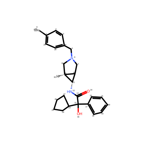 CC(C)(C)c1ccc(CN2CC3[C@H](C2)[C@H]3NC(=O)C(O)(c2ccccc2)C2CCCC2)cc1